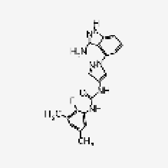 Cc1cc(C)c(F)c(NC(=O)Nc2cnn(-c3cccc4[nH]nc(N)c34)c2)c1